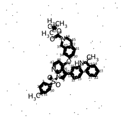 Cc1ccc(S(=O)(=O)n2cc(-c3cccc(N[C@H](C)c4ccccc4)c3)c3c(Oc4ccc5c(c4)CN(C(=O)OC(C)(C)C)CC5)ccnc32)cc1